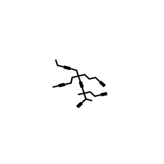 C#CCCCC(C#CC(C)(CCC#C)C(C)C#C)(CC#CCC)CCC#CC